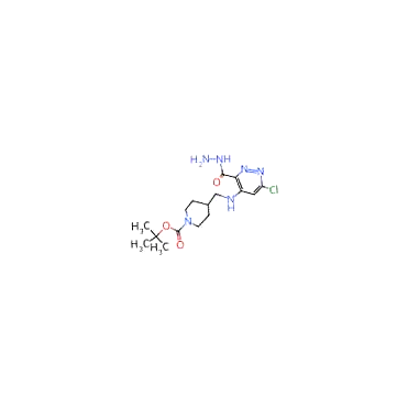 CC(C)(C)OC(=O)N1CCC(CNc2cc(Cl)nnc2C(=O)NN)CC1